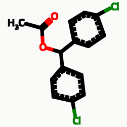 CC(=O)OC(c1ccc(Cl)cc1)c1ccc(Cl)cc1